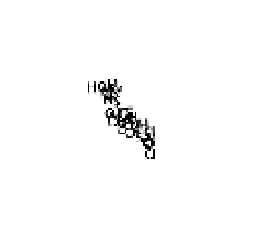 CCn1c(SCC2=C(C(=O)O)N3C(=O)C(NC(=O)CSc4cc(Cl)ccc4Cl)[C@@H]3SC2)nnc(O)c1=O